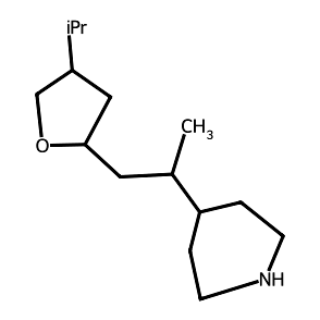 CC(C)C1COC(CC(C)C2CCNCC2)C1